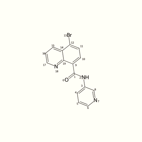 O=C(Nc1cccnc1)c1ccc(Br)c2cccnc12